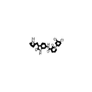 O=C1Nc2cc(NC(=O)c3cccn(-c4ccc(Cl)c(Cl)c4)c3=O)ccc2/C1=C/c1ccc[nH]1